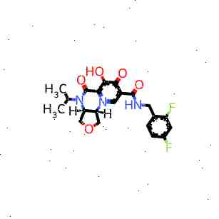 CC(C)N1C(=O)c2c(O)c(=O)c(C(=O)NCc3ccc(F)cc3F)cn2[C@@H]2COC[C@@H]21